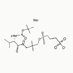 CC(C)[C@H](NC(=O)OC(C)(C)C)C(=O)NCC(C)(C)COS(=O)(=O)CCCS(=O)(=O)[O-].[Na+]